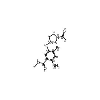 COC(=O)c1cc(O[C@H]2CCN(C(C)=O)C2)c(Br)cc1N